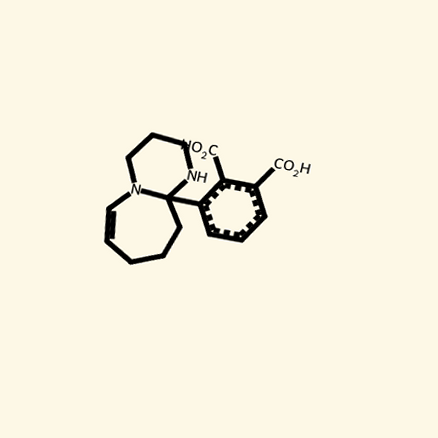 O=C(O)c1cccc(C23CCCC=CN2CCCN3)c1C(=O)O